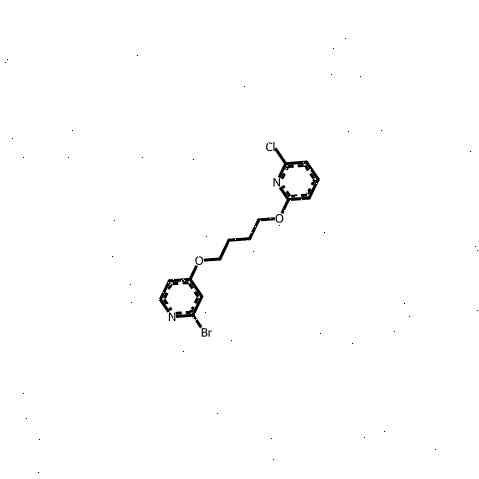 Clc1cccc(OCCCCOc2ccnc(Br)c2)n1